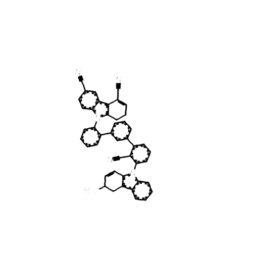 CC1C=Cc2c(c3ccccc3n2-c2cccc(-c3cccc(-c4ccccc4-n4c5c(c6cc(C#N)ccc64)C(C#N)=CCC5)c3)c2C#N)C1